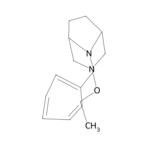 CCON1CC2CCC(C1)N2Cc1ccccc1